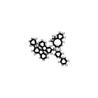 CC1/C=C(N(c2ccc(-c3ccccc3)cc2)c2ccc3c(c2)-c2ccccc2C32c3ccccc3-c3ccc4c(oc5ccccc54)c32)\C=C/Cc2ccccc2C1(C)C